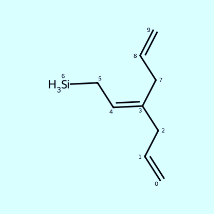 C=CCC(=CC[SiH3])CC=C